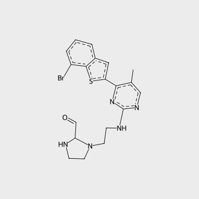 Cc1cnc(NCCN2CCNC2C=O)nc1-c1cc2cccc(Br)c2s1